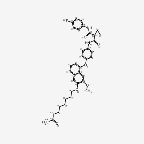 COc1cc2c(Oc3ccc(NC(=O)C4(C(=O)Nc5ccc(F)cc5)CC4)cc3)ccnc2cc1OCCCCCCSC(C)=O